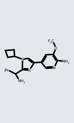 CC(C)C(N)c1nc(-c2cnc(N)c(OC(F)(F)F)c2)cn1C1CCC1